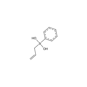 C=CC[Si](O)(O)c1ccccc1